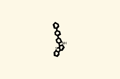 C1=CC2SC3C(C=CC4NC5CC(C6=CCC(C7=CCCC=C7)CC6)CCC5C43)C2C=C1